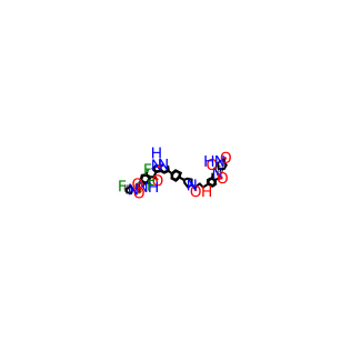 O=C1CC[C@H](N2Cc3cc(CCC(O)N4CCC(c5ccc(-c6cnc7[nH]cc(C(=O)c8c(F)ccc(NS(=O)(=O)N9CC[C@@H](F)C9)c8F)c7c6)cc5)CC4)ccc3C2=O)C(=O)N1